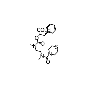 CN(CCN(C)C(=O)N1CCSCC1)C(=O)O[C@@H](Cc1ccccc1)C(=O)O